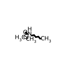 CCCCCCNC(=O)[Si](C)C